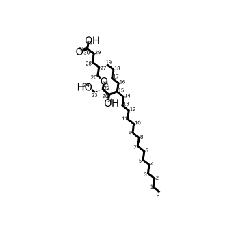 CCCCCCCCCCCCCCCC(CCCC)C(O)[C@H](CO)OCCCCC(=O)O